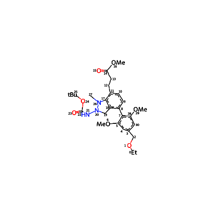 CCOCc1cc(OC)c(-c2ccc(CCC(=O)OC)c3c2CN(NC(=O)OC(C)(C)C)N3C)c(OC)c1